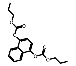 CCCOC(=O)Oc1ccc(OC(=O)OCCC)c2ccccc12